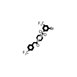 O=C(Cc1ccc(C(F)(F)F)cc1)N1CCN(S(=O)(=O)c2cc(Br)cc(C(F)(F)F)c2)CC1